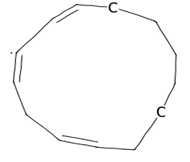 [C]1=CCC=CCCCCCCC=C1